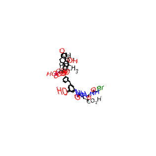 C[C@]12C=CC(=O)C=C1CC[C@@H]1[C@@H]2[C@@H](O)C[C@@]2(C)[C@H]1C[C@H]1O[C@@H](c3cccc(Cc4cc(CO)cc(NC(=O)C(CCC(=O)O)NC(=O)CNC(=O)CBr)c4)c3)O[C@]12C(=O)COP(=O)(O)O